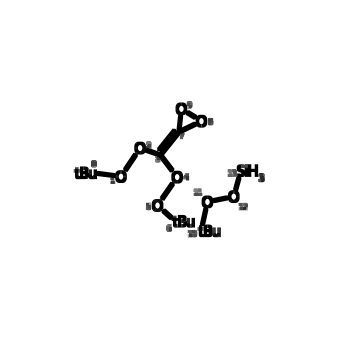 CC(C)(C)OOC(OOC(C)(C)C)=C1OO1.CC(C)(C)OO[SiH3]